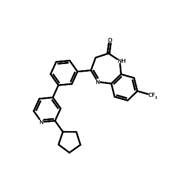 O=C1CC(c2cccc(-c3ccnc(C4CCCC4)c3)c2)=Nc2ccc(C(F)(F)F)cc2N1